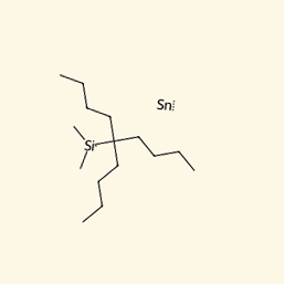 CCCCC(CCCC)(CCCC)[Si](C)C.[Sn]